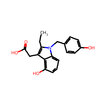 CCc1c(CC(=O)O)c2c(O)cccc2n1Cc1ccc(O)cc1